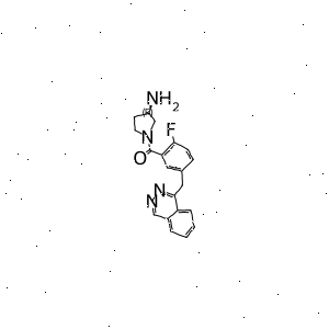 N[C@@H]1CCN(C(=O)c2cc(Cc3nncc4ccccc34)ccc2F)C1